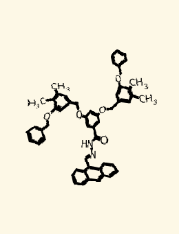 Cc1cc(COc2cc(OCc3cc(C)c(C)c(OCc4ccccc4)c3)cc(C(=O)N/N=C/c3c4ccccc4cc4ccccc34)c2)cc(OCc2ccccc2)c1C